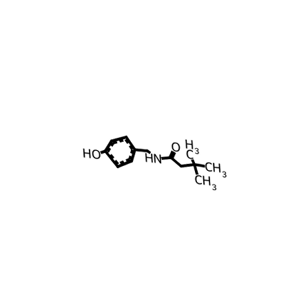 CC(C)(C)CC(=O)NCc1ccc(O)cc1